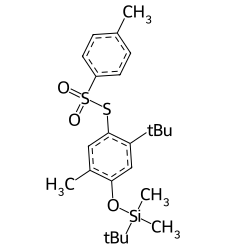 Cc1ccc(S(=O)(=O)Sc2cc(C)c(O[Si](C)(C)C(C)(C)C)cc2C(C)(C)C)cc1